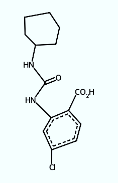 O=C(Nc1cc(Cl)ccc1C(=O)O)NC1CCCCC1